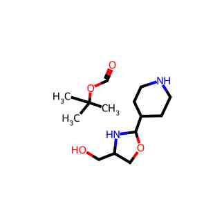 CC(C)(C)OC=O.OCC1COC(C2CCNCC2)N1